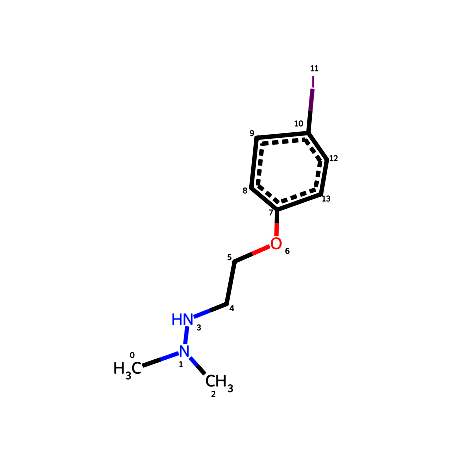 CN(C)NCCOc1ccc(I)cc1